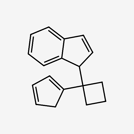 C1=CCC(C2(C3C=Cc4ccccc43)CCC2)=C1